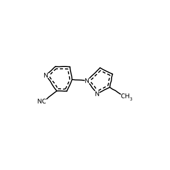 Cc1ccn(-c2ccnc(C#N)c2)n1